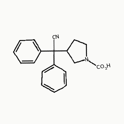 N#CC(c1ccccc1)(c1ccccc1)C1CCN(C(=O)O)C1